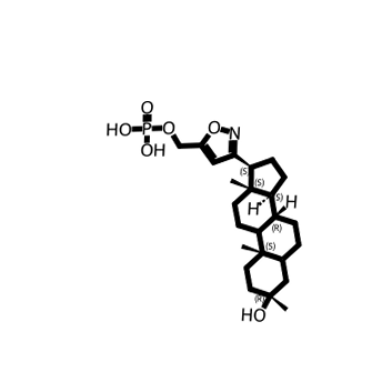 C[C@@]1(O)CC[C@@]2(C)C(CC[C@@H]3C2CC[C@]2(C)[C@@H](c4cc(COP(=O)(O)O)on4)CC[C@@H]32)C1